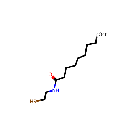 CCCCCCCCCCCCCCCC(=O)NCCS